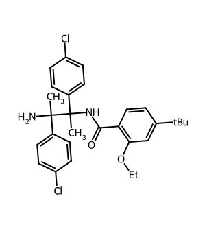 CCOc1cc(C(C)(C)C)ccc1C(=O)NC(C)(c1ccc(Cl)cc1)C(C)(N)c1ccc(Cl)cc1